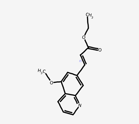 CCOC(=O)/C=C/c1cc(OC)c2cccnc2c1